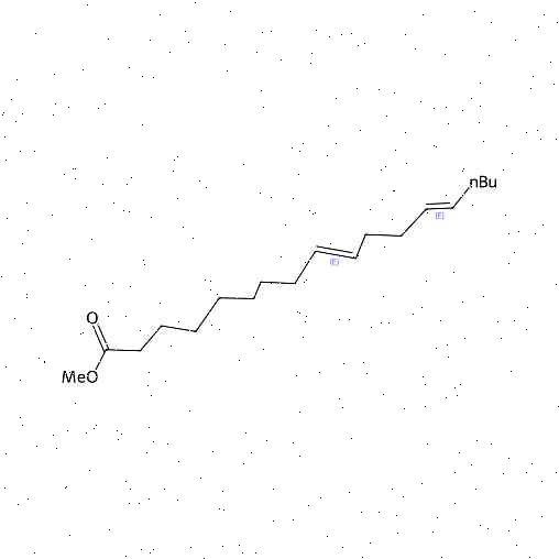 CCCC/C=C/CC/C=C/CCCCCCCC(=O)OC